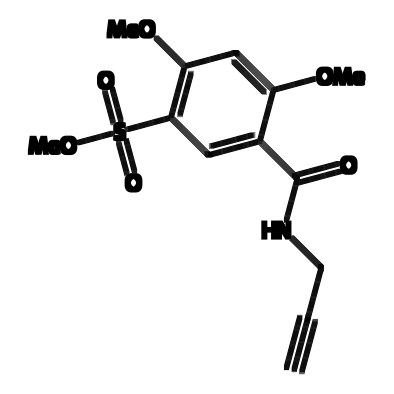 C#CCNC(=O)c1cc(S(=O)(=O)OC)c(OC)cc1OC